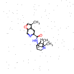 Cc1coc2cnc(C(=O)N[C@H]3C4CCN(CC4)C3(C)C)cc12